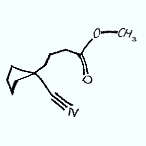 COC(=O)CC1(C#N)CC1